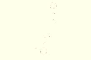 COc1ccc(Br)c2c1OCC(C(=O)NCCCCN1CCN(c3ccccc3F)CC1)=C2